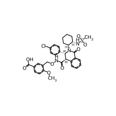 COc1ccc(C(=O)O)cc1CONC(=O)[C@@H]1c2ccccc2C(=O)N([C@H]2CCCC[C@@H]2NS(C)(=O)=O)[C@H]1c1ccc(Cl)cc1